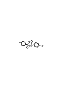 Cc1ccc(S(=O)(=O)NC(=O)c2ccc(S)cc2)cc1